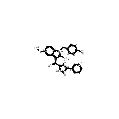 CCOc1ccc2c(c1)c(C(=O)c1nc(-c3cccnc3)no1)c(C(F)(F)F)n2Cc1ccc(Cl)cc1